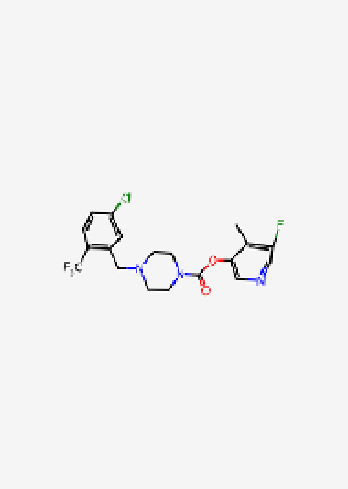 Cc1c(F)cncc1OC(=O)N1CCN(Cc2cc(Cl)ccc2C(F)(F)F)CC1